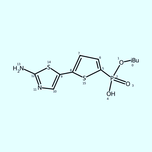 CCC(C)OP(=O)(O)c1ccc(-c2cnc(N)s2)s1